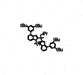 CC(C)CC1(C)C2=Cc3c(-c4cc(C(C)(C)C)cc(C(C)(C)C)c4)cccc3[CH]2[Hf]([CH3])([CH3])[CH]2C1=Cc1c(-c3cc(C(C)(C)C)cc(C(C)(C)C)c3)cccc12